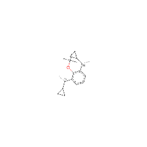 C[C@H](c1cccc([C@@H](C)C2CC2)c1OC(C)(C)C)C1CC1